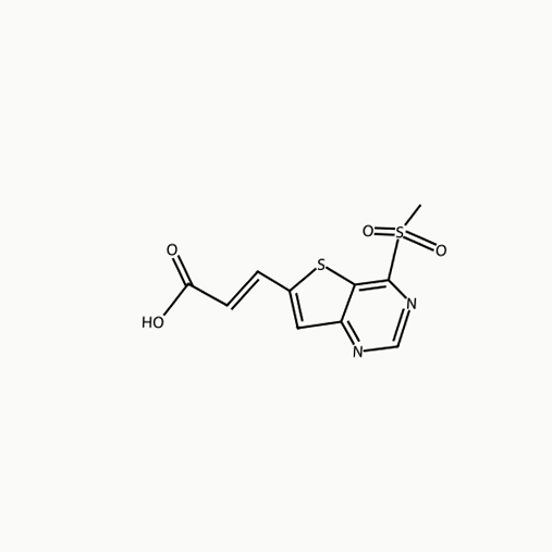 CS(=O)(=O)c1ncnc2cc(/C=C/C(=O)O)sc12